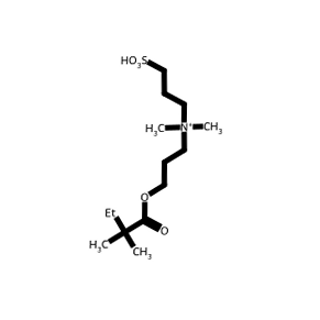 CCC(C)(C)C(=O)OCCC[N+](C)(C)CCCS(=O)(=O)O